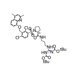 Cc1cc(C)c2cccc(OCc3c(Cl)ccc(S(=O)(=O)N4CCC[C@H]4C(=O)NCCCN/C(=N\C(=O)OC(C)(C)C)NC(=O)OC(C)(C)C)c3Cl)c2n1